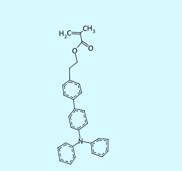 C=C(C)C(=O)OCCc1ccc(-c2ccc(N(c3ccccc3)c3ccccc3)cc2)cc1